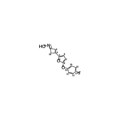 O/N=C1/C=C(c2ccc(Oc3ccc(F)cc3)o2)C1